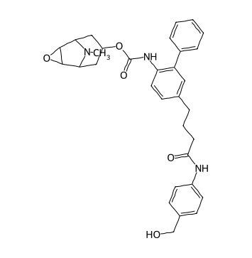 CN1C2CC(OC(=O)Nc3ccc(CCCC(=O)Nc4ccc(CO)cc4)cc3-c3ccccc3)CC1C1OC12